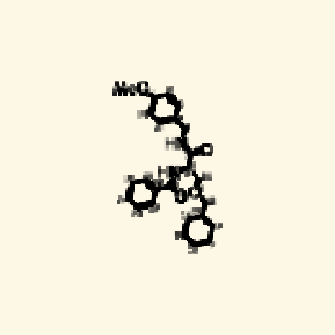 COc1ccc(CNC(=O)[C@H](COCC2CCCCC2)NC(=O)c2ccccc2)cc1